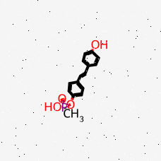 CP(=O)(O)Oc1ccc(C=Cc2ccc(O)cc2)cc1